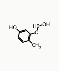 Cc1ccc(O)cc1OBO